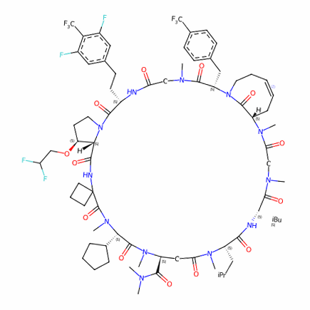 CC[C@H](C)[C@@H]1NC(=O)[C@H](CC(C)C)N(C)C(=O)C[C@@H](C(=O)N(C)C)N(C)C(=O)[C@H](C2CCCC2)N(C)C(=O)C2(CCC2)NC(=O)[C@@H]2[C@@H](OCC(F)F)CCN2C(=O)[C@H](CCc2cc(F)c(C(F)(F)F)c(F)c2)NC(=O)CN(C)C(=O)[C@H](Cc2ccc(C(F)(F)F)cc2)N2CC/C=C\C[C@@H](C2=O)N(C)C(=O)CN(C)C1=O